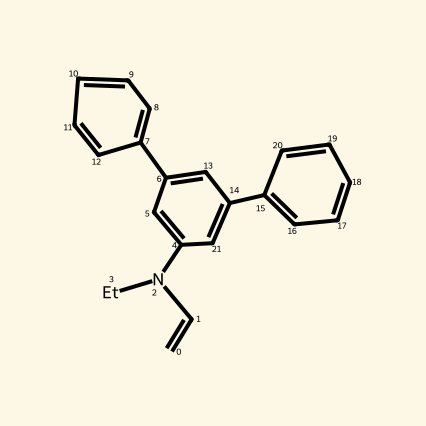 C=CN(CC)c1cc(-c2ccccc2)cc(-c2ccccc2)c1